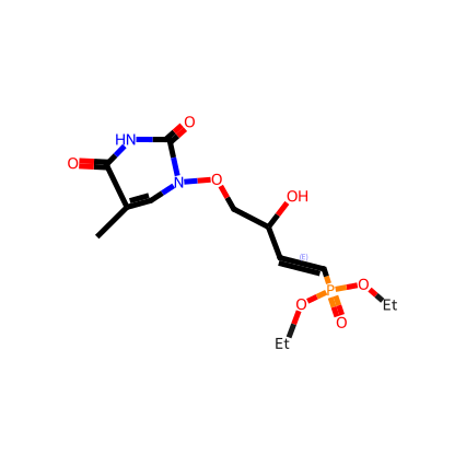 CCOP(=O)(/C=C/C(O)COn1cc(C)c(=O)[nH]c1=O)OCC